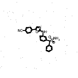 N#Cc1ccc(-c2cnc(Nc3cccc(C(c4ccccc4)S(N)(=O)=O)c3)o2)cc1